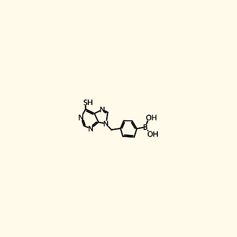 OB(O)c1ccc(Cn2cnc3c(S)ncnc32)cc1